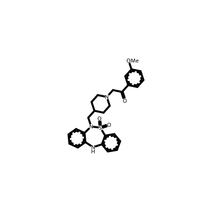 COc1cccc(C(=O)CN2CCC(CN3c4ccccc4Nc4ccccc4S3(=O)=O)CC2)c1